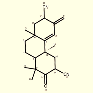 C=C1C=C2C(C)(CCC3C(C)(C)C(=O)C(C#N)C[C@]23C)CC1C#N